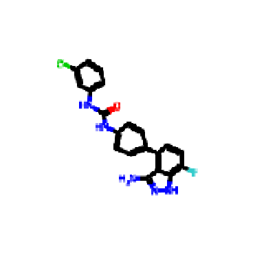 Nc1n[nH]c2c(F)ccc(-c3ccc(NC(=O)Nc4cccc(Cl)c4)cc3)c12